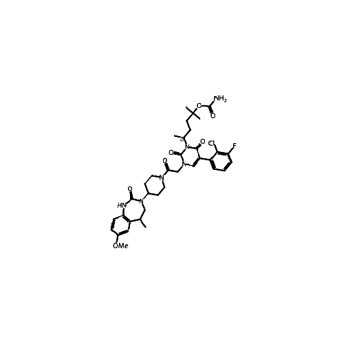 COc1ccc2c(c1)C(C)CN(C1CCN(C(=O)Cn3cc(-c4cccc(F)c4Cl)c(=O)n([C@@H](C)CCC(C)(C)OC(N)=O)c3=O)CC1)C(=O)N2